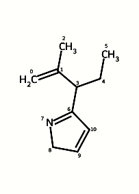 C=C(C)C(CC)C1=NCC=C1